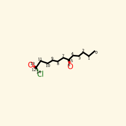 CCCCCC(=O)CCCCCC(=O)Cl